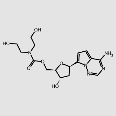 Nc1ncnn2c([C@H]3C[C@H](O)[C@@H](COC(=O)N(CCO)CCO)O3)ccc12